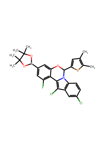 Cc1cc(C2Oc3cc(B4OC(C)(C)C(C)(C)O4)cc(F)c3-c3c(Cl)c4cc(Cl)ccc4n32)sc1C